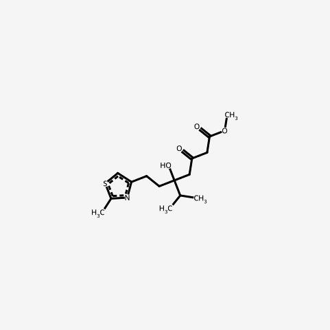 COC(=O)CC(=O)CC(O)(CCc1csc(C)n1)C(C)C